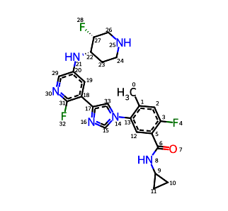 Cc1cc(F)c(C(=O)NC2CC2)cc1-n1cnc(-c2cc(N[C@H]3CCNC[C@H]3F)cnc2F)c1